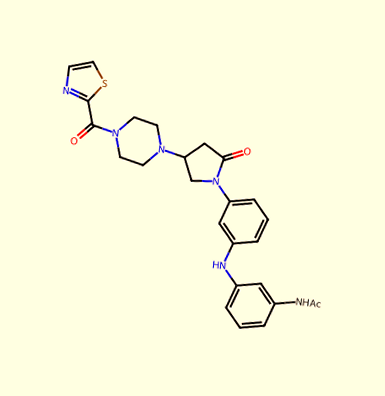 CC(=O)Nc1cccc(Nc2cccc(N3CC(N4CCN(C(=O)c5nccs5)CC4)CC3=O)c2)c1